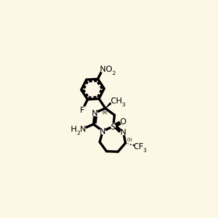 C[C@@]1(c2cc([N+](=O)[O-])ccc2F)CS2(=O)=N[C@H](C(F)(F)F)CCCN2C(N)=N1